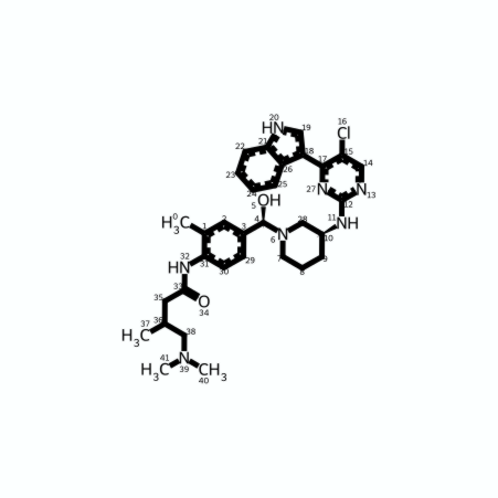 Cc1cc([C@@H](O)N2CCC[C@H](Nc3ncc(Cl)c(-c4c[nH]c5ccccc45)n3)C2)ccc1NC(=O)CC(C)CN(C)C